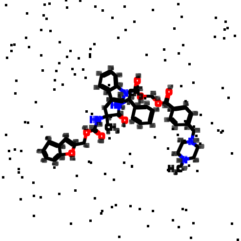 CC(NC(=O)C(C)(Cc1cn(C(=O)OCOC(=O)c2ccc(CN3CCN(C)CC3)cc2)c2ccccc12)NC(=O)OCc1cc2ccccc2o1)c1ccccc1